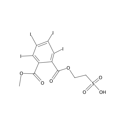 COC(=O)c1c(I)c(I)c(I)c(I)c1C(=O)OCCS(=O)(=O)O